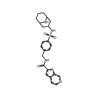 O=C(NCc1ccc(S(=O)(=O)NC2CC3CCCC(C2)N3)cc1)c1cc2ccncc2s1